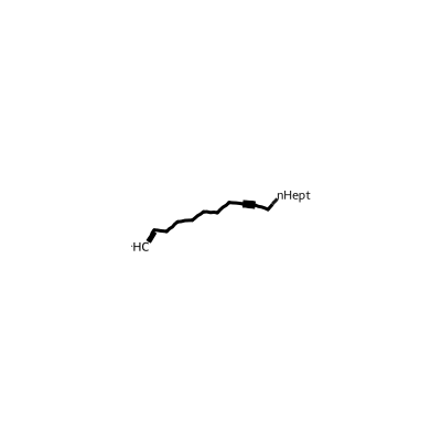 [CH]=CCCCCCCC#CCCCCCCCC